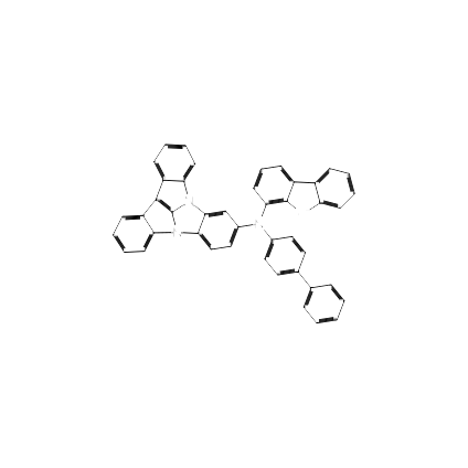 c1ccc(-c2ccc(N(c3ccc4c(c3)n3c5ccccc5c5c6ccccc6n4c53)c3cccc4c3oc3ccccc34)cc2)cc1